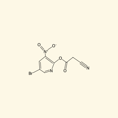 N#CCC(=O)Oc1ncc(Br)cc1[N+](=O)[O-]